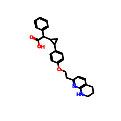 O=C(O)C(c1ccccc1)C1CC1c1ccc(OCCc2ccc3c(n2)NCCC3)cc1